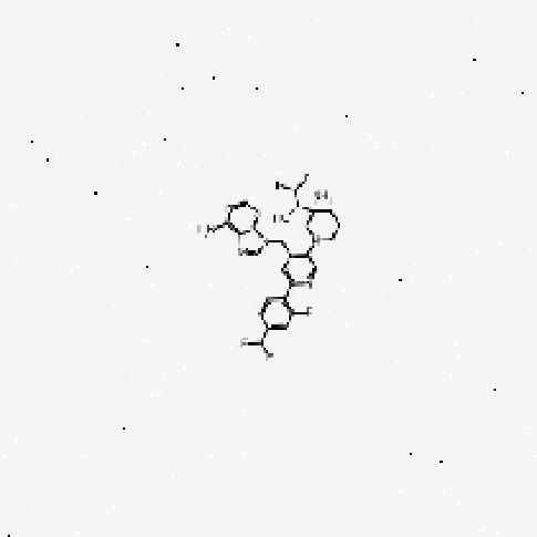 Nc1ncnc2c1ncn2Cc1cc(-c2ccc(C(F)F)cc2F)ncc1N1CCC[C@](N)([C@H](O)C(F)F)C1